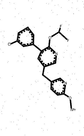 CCCOc1ccc(Cc2cnc(OC(F)F)c(-c3cccc(Cl)c3)c2)cn1